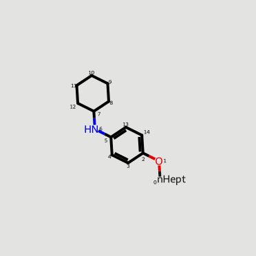 CCCCCCCOc1ccc(NC2CCCCC2)cc1